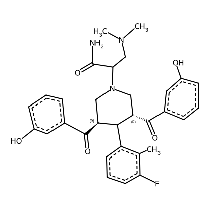 Cc1c(F)cccc1C1[C@@H](C(=O)c2cccc(O)c2)CN(C(CN(C)C)C(N)=O)C[C@@H]1C(=O)c1cccc(O)c1